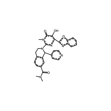 CN(C)C(=O)c1ccc2c(c1)C(c1ccncc1)N(c1nc(-c3nc4ccccc4o3)c(O)c(=O)n1C)CC2